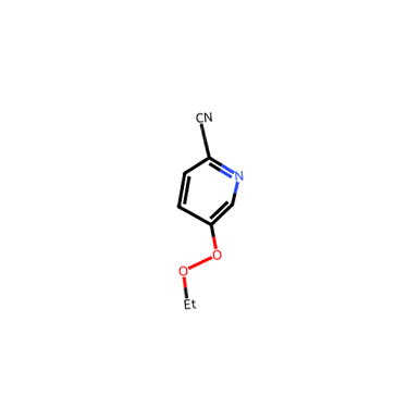 CCOOc1ccc(C#N)nc1